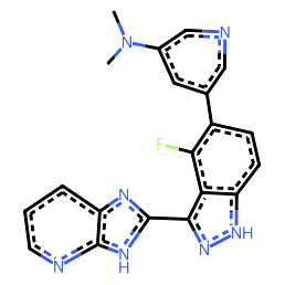 CN(C)c1cncc(-c2ccc3[nH]nc(-c4nc5cccnc5[nH]4)c3c2F)c1